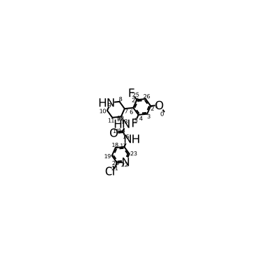 COc1cc(F)c(C2CNCC[C@H]2NC(=O)Nc2ccc(Cl)nc2)c(F)c1